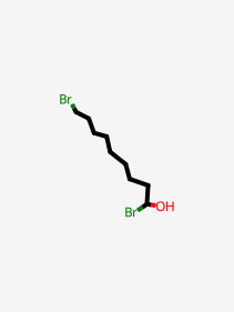 OC(Br)CCCCCCCCBr